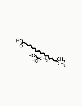 CC(C)CCCCCCCCCCCCCCC(=O)O.CC(O)CO